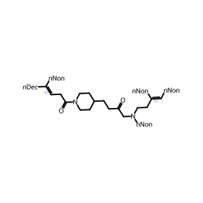 CCCCCCCCC/C=C(\CCCCCCCCC)CCN(CCCCCCCCC)CC(=O)CCC1CCN(C(=O)C/C=C(\CCCCCCCCC)CCCCCCCCCC)CC1